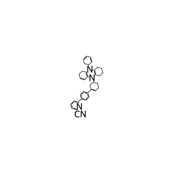 N#Cc1cccc(-c2ccc(C3=CCCC(N4C5=C(CCC=C5)N(C5C=CC=CC5)C5=C4CCCC5)C3)cc2)n1